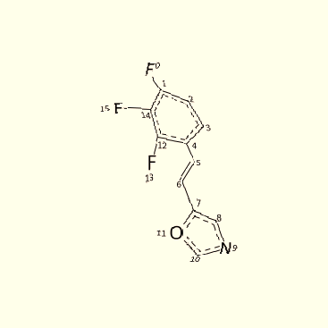 Fc1ccc(C=Cc2cnco2)c(F)c1F